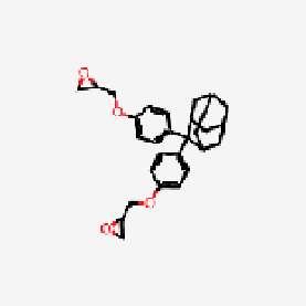 c1cc(C2(c3ccc(OCC4CO4)cc3)C3CC4CC(C3)CC2C4)ccc1OCC1CO1